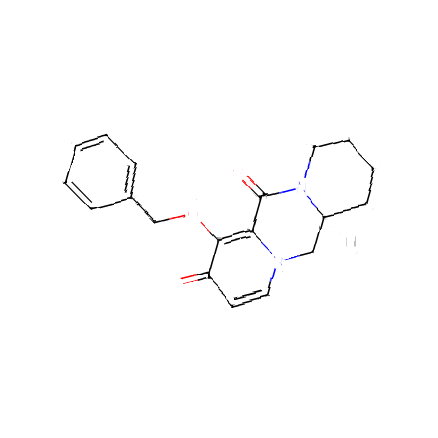 O=C1c2c(OCc3ccccc3)c(=O)ccn2C[C@@H]2CCCCN12